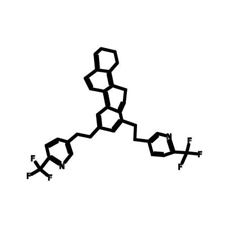 FC(F)(F)c1ccc(CCc2cc(CCc3ccc(C(F)(F)F)nc3)c3c(c2)=c2ccc4c(c2CC=3)CCCC=4)cn1